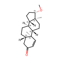 CO[C@H]1CC[C@H]2[C@@H]3CC[C@H]4CC(=O)C=C[C@]4(C)[C@H]3CC[C@]12C